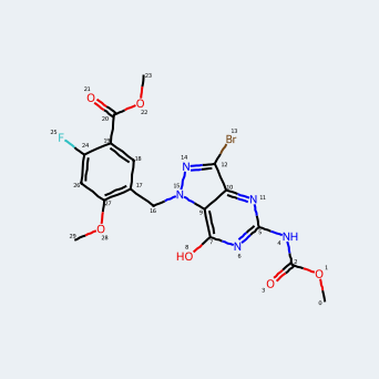 COC(=O)Nc1nc(O)c2c(n1)c(Br)nn2Cc1cc(C(=O)OC)c(F)cc1OC